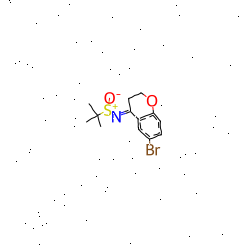 CC(C)(C)[S+]([O-])N=C1CCOc2ccc(Br)cc21